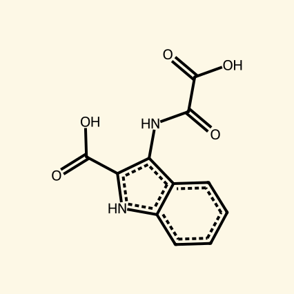 O=C(O)C(=O)Nc1c(C(=O)O)[nH]c2ccccc12